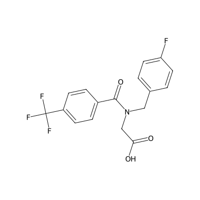 O=C(O)CN(Cc1ccc(F)cc1)C(=O)c1ccc(C(F)(F)F)cc1